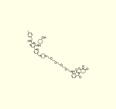 Cc1ccc(CNc2ncc(-c3ccc(CN4CCN(CCOCCOCCOCCOCCNc5cccc6c5C(=O)N(C5CCC(=O)NC5=O)C6=O)CC4)cn3)c(N[C@H]3CC[C@H](O)CC3)n2)cc1